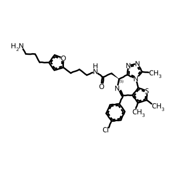 Cc1sc2c(c1C)C(c1ccc(Cl)cc1)=N[C@@H](CC(=O)NCCCc1cc(CCCN)co1)c1nnc(C)n1-2